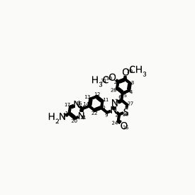 COc1ccc(C2=NN(Cc3cccc(-c4ncc(N)cn4)c3)C(C=O)SC2)cc1OC